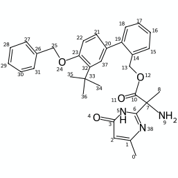 Cc1cc(=O)[nH]c(C(C)(N)C(=O)OCc2ccccc2-c2ccc(OCc3ccccc3)c(C(C)(C)C)c2)n1